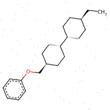 CC[C@H]1CC[C@H]([C@H]2CC[C@H](COc3ccccc3)CC2)CC1